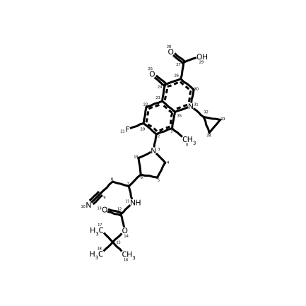 Cc1c(N2CCC(C(CC#N)NC(=O)OC(C)(C)C)C2)c(F)cc2c(=O)c(C(=O)O)cn(C3CC3)c12